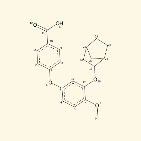 COc1ccc(Oc2ccc(C(=O)O)cc2)cc1OC1CC2CCC1C2